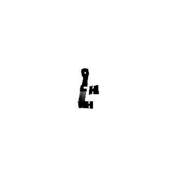 I.N=C=O